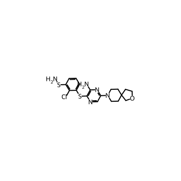 NSc1cccc(Sc2ncc(N3CCC4(CCOC4)CC3)nc2N)c1Cl